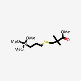 COC(=O)C(C)(C)CSCCC[Si](OC)(OC)OC